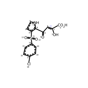 O=C(O)/C(O)=C/C(=O)c1[nH]ccc1S(=O)(=O)c1ccc(Cl)cc1